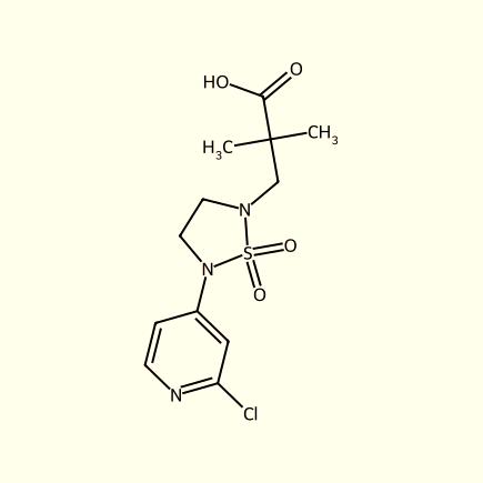 CC(C)(CN1CCN(c2ccnc(Cl)c2)S1(=O)=O)C(=O)O